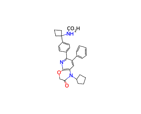 O=C(O)NC1(c2ccc(-c3nc4c(cc3-c3ccccc3)N(C3CCCC3)C(=O)CO4)cc2)CCC1